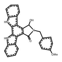 COc1ccc(CN2C(=O)c3c(c4c5ccccc5[nH]c4c4[nH]c5ccccc5c34)C2O)cc1